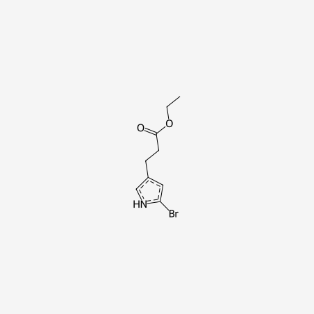 CCOC(=O)CCc1c[nH]c(Br)c1